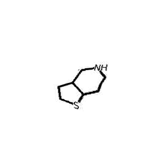 [CH]1NCCC2SCCC12